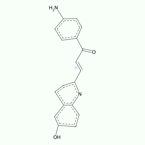 Nc1ccc(C(=O)/C=C/c2ccc3cc(O)ccc3n2)cc1